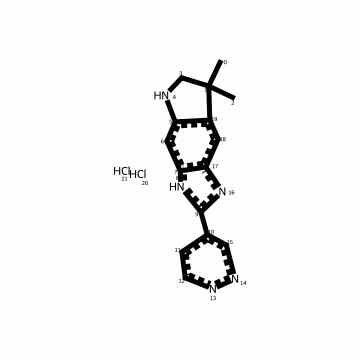 CC1(C)CNc2cc3[nH]c(-c4ccnnc4)nc3cc21.Cl.Cl